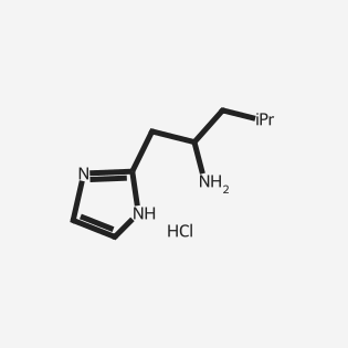 CC(C)CC(N)Cc1ncc[nH]1.Cl